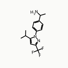 CC(C)c1cc(C(F)(F)F)nn1-c1ccc(C(C)N)cc1